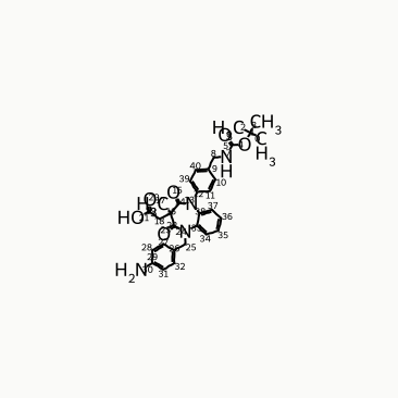 CC(C)(C)OC(=O)NCc1ccc(N2C(=O)C(C)(CC(=O)O)C(=O)N(Cc3ccc(N)cc3)c3ccccc32)cc1